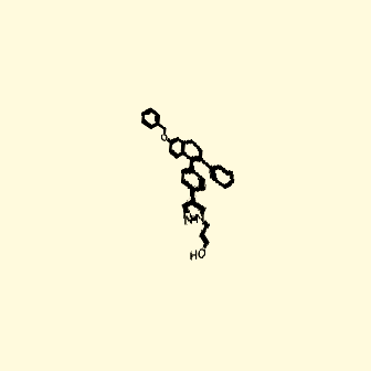 OCCCn1cc(-c2ccc(C3=C(c4ccccc4)CCc4cc(OCc5ccccc5)ccc43)cc2)cn1